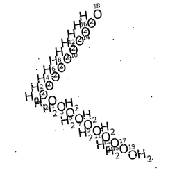 O.O.O.O.O.O.O.O.O.O.O.O.O.O.O.O.O.O.O.O